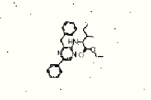 CCOC(=O)C(Nc1ncc(-c2ccccc2)nc1Cc1ccccc1)C(C)CC